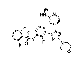 CC(C)Nc1nccc(-c2sc(N3CCOCC3)nc2-c2cccc(NS(=O)(=O)c3c(F)cccc3F)c2F)n1